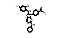 N#Cc1ccc(Nc2nc3cnc(NC4CCOCC4)nc3n2C2CCC(C(N)=O)CC2)c(Cl)c1